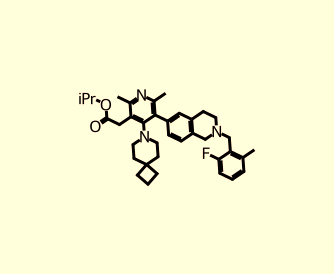 Cc1cccc(F)c1CN1CCc2cc(-c3c(C)nc(C)c(CC(=O)OC(C)C)c3N3CCC4(CCC4)CC3)ccc2C1